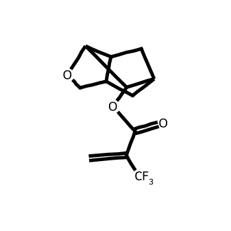 C=C(C(=O)OC1C2CC3COC1C3C2)C(F)(F)F